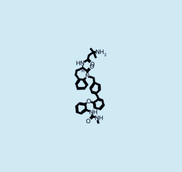 CNC(=O)Nc1ccccc1Oc1ccccc1-c1ccc(CN2C(=O)[C@H](NC(=O)CC(C)(C)N)CCc3ccccc32)cc1